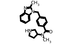 Cc1nc2ccccc2n1Cc1ccc(C(=O)N(C)C2CCNC2)cc1